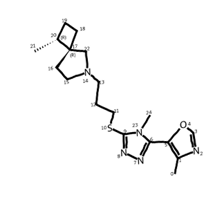 Cc1ncoc1-c1nnc(SCCCN2CC[C@@]3(CC[C@H]3C)C2)n1C